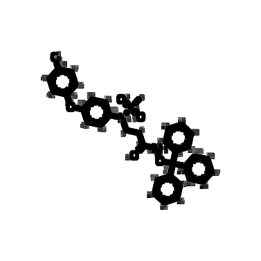 CS(=O)(=O)N(CCC(=O)NOC(c1ccccc1)(c1ccccc1)c1ccccc1)c1ccc(Oc2ccc(Cl)cc2)cc1